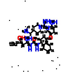 CN(C)CC1CCN(C(=N)n2cc(OC3CCC(NC(=O)NC(=N)/C=C(\O)C(C)(C)C)c4ccccc43)ccc2=N)CC1